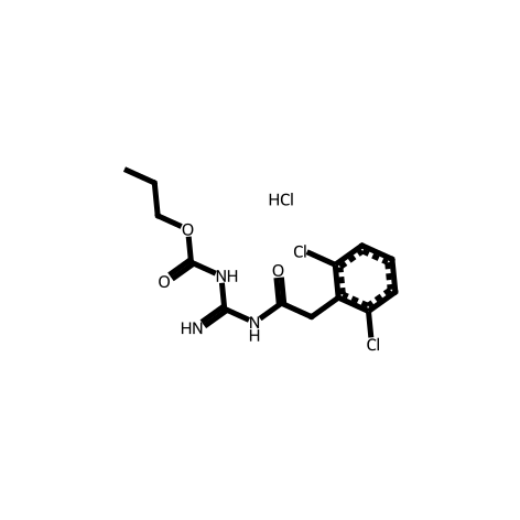 CCCOC(=O)NC(=N)NC(=O)Cc1c(Cl)cccc1Cl.Cl